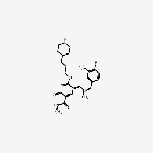 CNC(=O)/C(C=O)=C/C(=C\N(C)Cc1ccc(F)c(C)c1)C(=O)NCCCC1CCNCC1